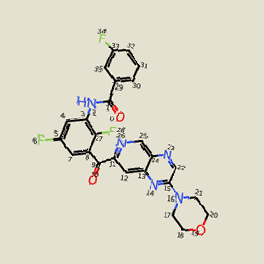 O=C(Nc1cc(F)cc(C(=O)c2cc3nc(N4CCOCC4)cnc3cn2)c1F)c1cccc(F)c1